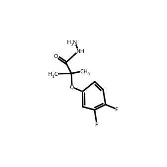 CC(C)(Oc1ccc(F)c(F)c1)C(=O)NN